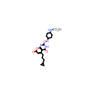 CCOC(=O)NC1CCC(=NOc2nc3oc(=O)cc(CCCC4CC4)c3c(=O)[nH]2)CC1